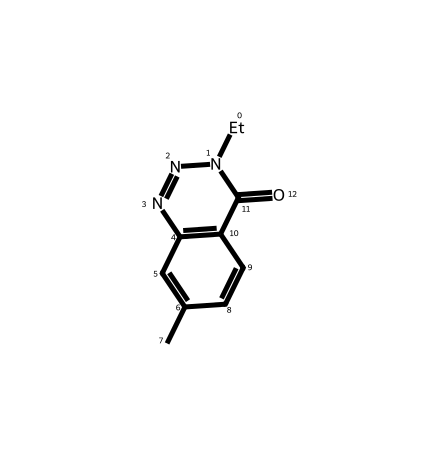 CCn1nnc2cc(C)ccc2c1=O